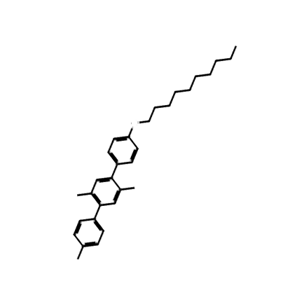 CCCCCCCCCCOc1ccc(-c2cc(C)c(-c3ccc(C)cc3)cc2C)cc1